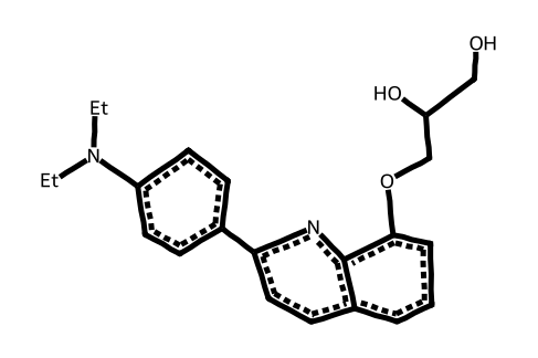 CCN(CC)c1ccc(-c2ccc3cccc(OCC(O)CO)c3n2)cc1